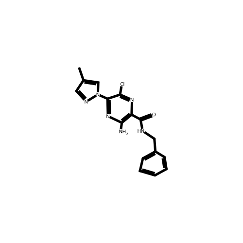 Cc1cnn(-c2nc(N)c(C(=O)NCc3ccccc3)nc2Cl)c1